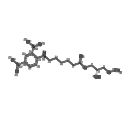 COC[C@H](O)COC(=O)CCCCCNc1ccc([N+](=O)[O-])cc1[N+](=O)[O-]